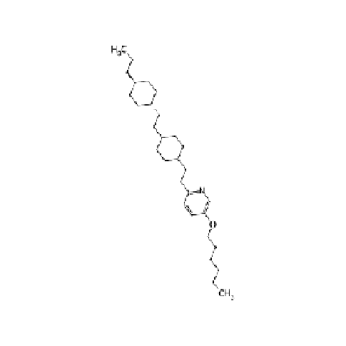 CCCCCCOc1ccc(CCC2CCC(CC[C@H]3CC[C@H](CCC)CC3)CC2)nc1